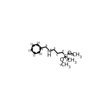 CO[Si](C)(CCCNCc1ccccc1)OC